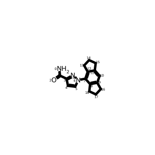 NC(=O)c1ccn(-c2c3c(cc4c2CCC4)CCC3)n1